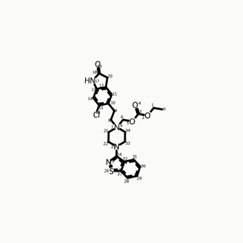 CCOC(=O)OC[N+]1(CCc2cc3c(cc2Cl)NC(=O)C3)CCN(c2nsc3ccccc23)CC1